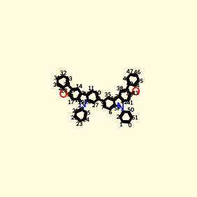 c1ccc(-n2c3ccc(-c4ccc5c6cc7c(cc6n(-c6ccccc6)c5c4)oc4ccccc47)cc3c3cc4c(cc32)oc2ccccc24)cc1